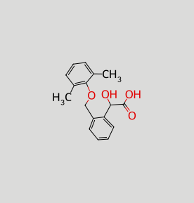 Cc1cccc(C)c1OCc1ccccc1C(O)C(=O)O